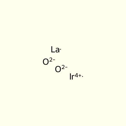 [Ir+4].[La].[O-2].[O-2]